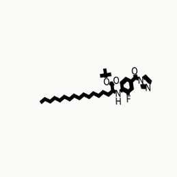 CCCCCCCCCCCCCCCC(Nc1ccc(C(=O)n2ccnc2)cc1F)C(=O)OC(C)(C)C